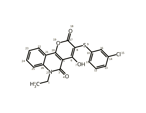 CCn1c(=O)c2c(O)c(Sc3cccc(Cl)c3)c(=O)oc2c2ccccc21